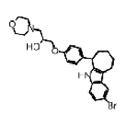 OC(COc1ccc(C2CCCCc3c2[nH]c2ccc(Br)cc32)cc1)CN1CCOCC1